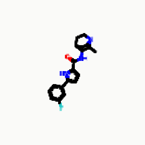 CC1C(NC(=O)c2ccc(-c3cccc(F)c3)[nH]2)C2CCN1CC2